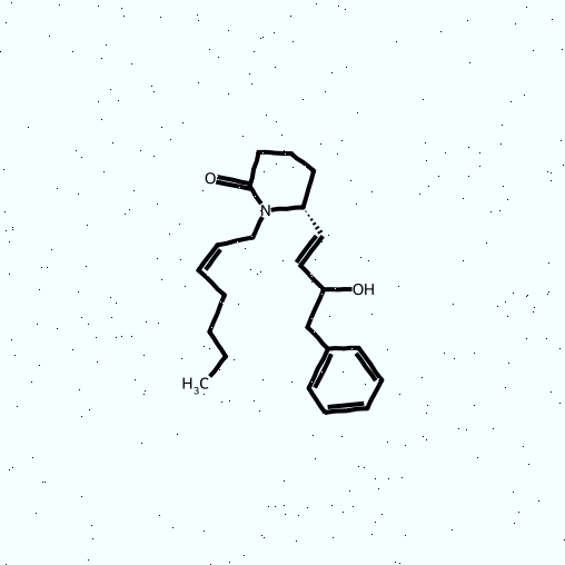 CCCC/C=C\CN1C(=O)CCC[C@@H]1/C=C/C(O)Cc1ccccc1